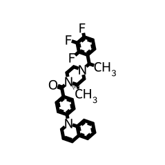 CC(c1ccc(F)c(F)c1F)N1CCN(C(=O)c2ccc(N3CC=Cc4ccccc43)cc2)[C@H](C)C1